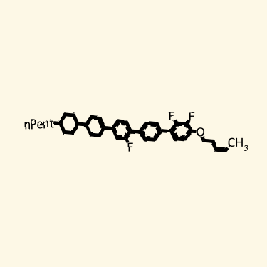 C/C=C\CCOc1ccc(-c2ccc(-c3ccc(C4=CCC(C5CCC(CCCCC)CC5)CC4)cc3F)cc2)c(F)c1F